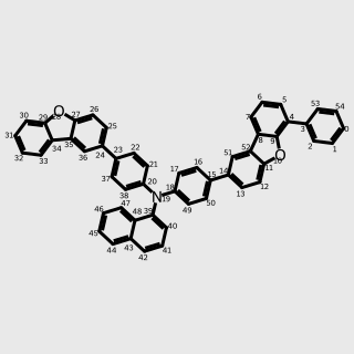 c1ccc(-c2cccc3c2oc2ccc(-c4ccc(N(c5ccc(-c6ccc7oc8ccccc8c7c6)cc5)c5cccc6ccccc56)cc4)cc23)cc1